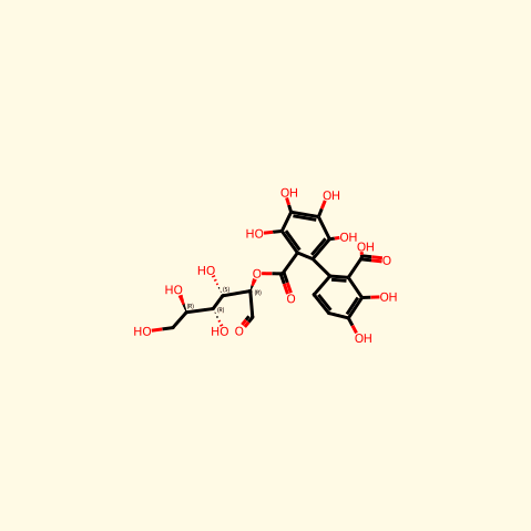 O=C[C@H](OC(=O)c1c(O)c(O)c(O)c(O)c1-c1ccc(O)c(O)c1C(=O)O)[C@@H](O)[C@H](O)[C@H](O)CO